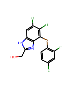 OCc1nc2c(Sc3ccc(Cl)cc3Cl)c(Cl)c(Cl)cc2[nH]1